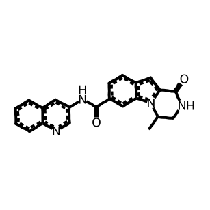 CC1CNC(=O)c2cc3ccc(C(=O)Nc4cnc5ccccc5c4)cc3n21